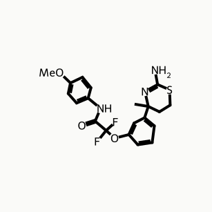 COc1ccc(NC(=O)C(F)(F)Oc2cccc(C3(C)CCSC(N)=N3)c2)cc1